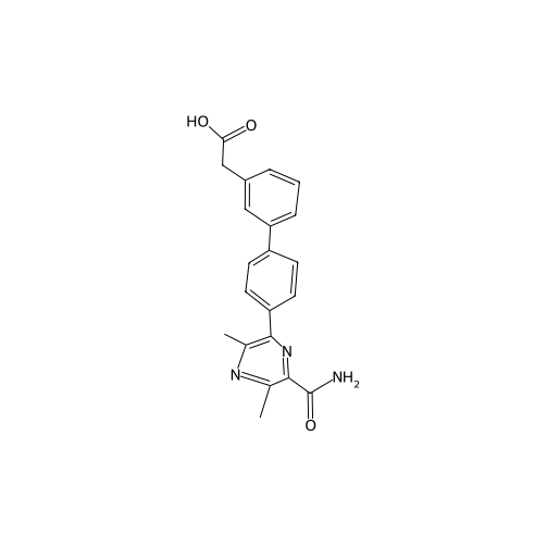 Cc1nc(C)c(-c2ccc(-c3cccc(CC(=O)O)c3)cc2)nc1C(N)=O